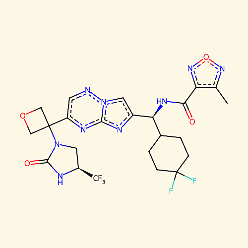 Cc1nonc1C(=O)N[C@H](c1cn2ncc(C3(N4C[C@@H](C(F)(F)F)NC4=O)COC3)nc2n1)C1CCC(F)(F)CC1